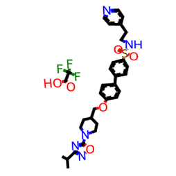 CC(C)c1noc(N2CCC(COc3ccc(-c4ccc(S(=O)(=O)NCCc5ccncc5)cc4)cc3)CC2)n1.O=C(O)C(F)(F)F